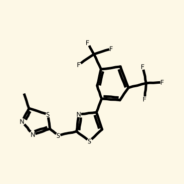 Cc1nnc(Sc2nc(-c3cc(C(F)(F)F)cc(C(F)(F)F)c3)cs2)s1